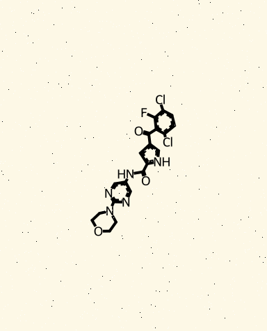 O=C(Nc1cnc(N2CCOCC2)nc1)c1cc(C(=O)c2c(Cl)ccc(Cl)c2F)c[nH]1